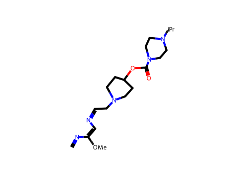 C=N/C(=C\N=C/CN1CCC(OC(=O)N2CCN(C(C)C)CC2)CC1)OC